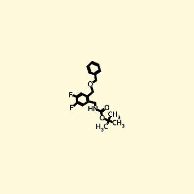 CC(C)(C)OC(=O)NCc1cc(F)c(F)cc1COCc1ccccc1